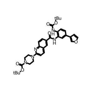 CC(C)(C)OC(=O)Nc1ccc(-c2ccoc2)cc1NC(=O)c1ccc2nc(N3CCN(C(=O)OC(C)(C)C)CC3)ccc2c1